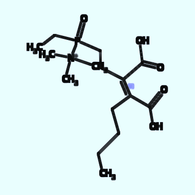 CCCC/C(C(=O)O)=C(\CCP(=O)(CC)[N+](C)(C)C)C(=O)O